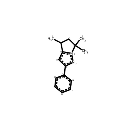 CC1CC(C)(C)n2nc(-c3ccccc3)cc21